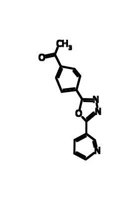 CC(=O)c1ccc(-c2nnc(-c3cccnc3)o2)cc1